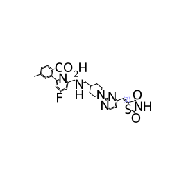 Cc1ccc(C(=O)O)c(-c2cc(F)cc(CNCC3CCN(c4nccc(/C=C5\SC(=O)NC5=O)n4)CC3)n2)c1